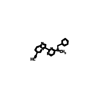 C#Cc1ccc2ncc(-c3nccc(N(C)Cc4ccccc4)n3)n2c1